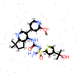 COc1cc(-c2cnc3c(c2NC(=O)N=S(N)(=O)c2cc(C(C)(C)O)cs2)CCC3(C)C)ccn1